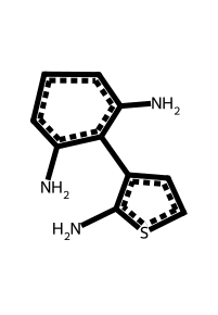 Nc1cccc(N)c1-c1ccsc1N